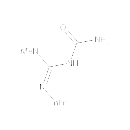 CCCN=C(NC)NC(N)=O